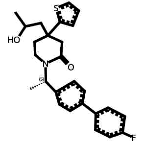 CC(O)CC1(c2cccs2)CCN([C@@H](C)c2ccc(-c3ccc(F)cc3)cc2)C(=O)C1